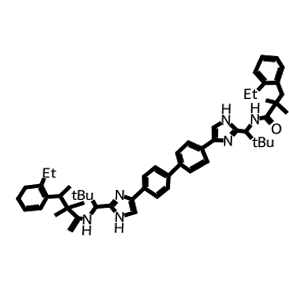 C=C(NC(c1nc(-c2ccc(-c3ccc(-c4c[nH]c(C(NC(=O)C(C)(C)Cc5ccccc5CC)C(C)(C)C)n4)cc3)cc2)c[nH]1)C(C)(C)C)C(C)(C)C(C)C1=C(CC)CCC=C1